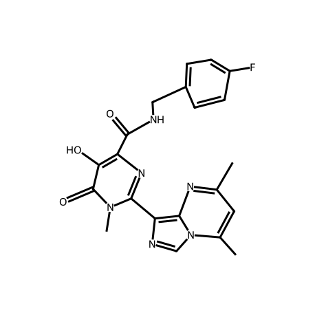 Cc1cc(C)n2cnc(-c3nc(C(=O)NCc4ccc(F)cc4)c(O)c(=O)n3C)c2n1